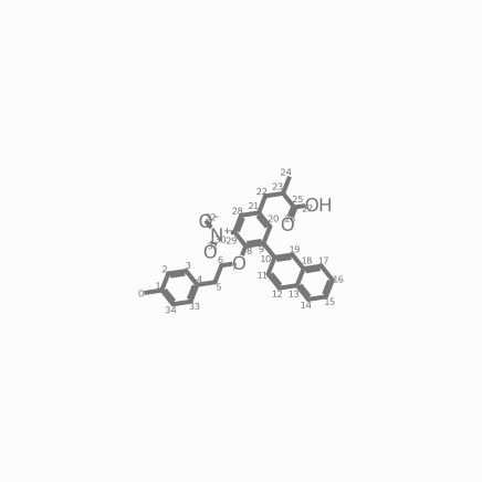 Cc1ccc(CCOc2c(-c3ccc4ccccc4c3)cc(CC(C)C(=O)O)cc2[N+](=O)[O-])cc1